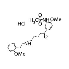 COc1ccccc1CCNCCCCCC(=O)c1ccc(OC)c(NS(C)(=O)=O)c1.Cl